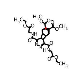 CCOC(=O)CNC(=O)C1=NN=C(C(=O)NCC(=O)OCC)C2C1C1C3C=CC(C(C(=O)OC)C3C(=O)OC)C21